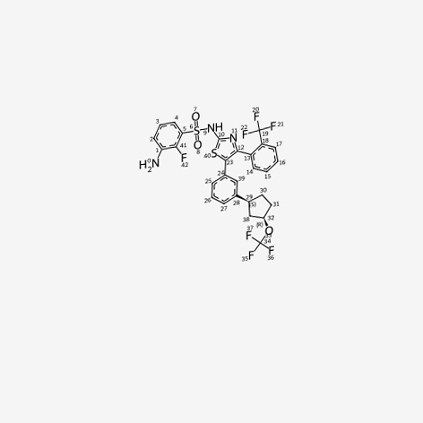 Nc1cccc(S(=O)(=O)Nc2nc(-c3ccccc3C(F)(F)F)c(-c3cccc([C@H]4CC[C@@H](OC(F)(F)F)C4)c3)s2)c1F